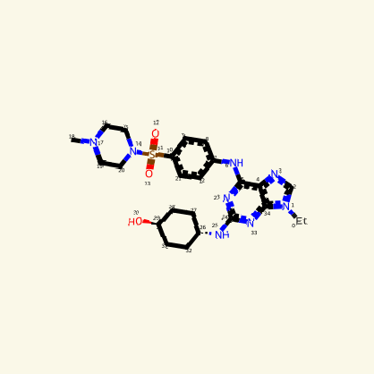 CCn1cnc2c(Nc3ccc(S(=O)(=O)N4CCN(C)CC4)cc3)nc(N[C@H]3CC[C@H](O)CC3)nc21